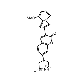 COc1cccn2cc(-c3cc4ccc(N5C[C@@H](C)N[C@@H](C)C5)cc4oc3=O)nc12